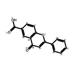 O=C(O)c1ccc2oc(-c3ccccc3)cc(=O)c2c1